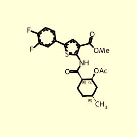 COC(=O)c1cc(-c2ccc(F)c(F)c2)sc1NC(=O)[C@@H]1CC[C@@H](C)C[C@@H]1OC(C)=O